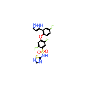 O=S(=O)(Nc1ncns1)c1cc(F)c(Oc2ccc(F)cc2-c2ccn[nH]2)cc1F